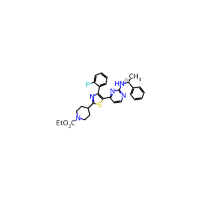 CCOC(=O)N1CCC(c2nc(-c3ccccc3F)c(-c3ccnc(N[C@@H](C)c4ccccc4)n3)s2)CC1